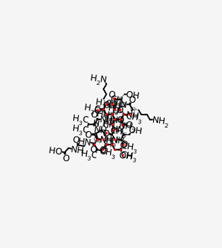 CC(C)C[C@H](NC(=O)[C@H](CCCCN)NC(=O)[C@H](CO)NC(=O)[C@H](CCCCN)NC(=O)[C@@H](N)CC(C)C)C(=O)NCC(=O)N[C@@H](CC(=O)O)C(=O)N[C@@H](CC(C)C)C(=O)N[C@H](C(=O)N[C@H](C(=O)N[C@H](C(=O)N[C@@H](CO)C(=O)N[C@@H](CC(C)C)C(=O)N1CCC[C@H]1C(=O)NCC(=O)NCC(=O)O)C(C)C)[C@@H](C)O)C(C)C